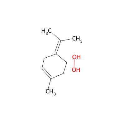 CC1=CCC(=C(C)C)CC1.OO